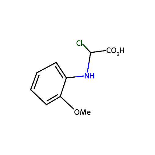 COc1ccccc1NC(Cl)C(=O)O